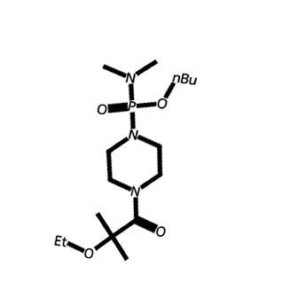 CCCCOP(=O)(N(C)C)N1CCN(C(=O)C(C)(C)OCC)CC1